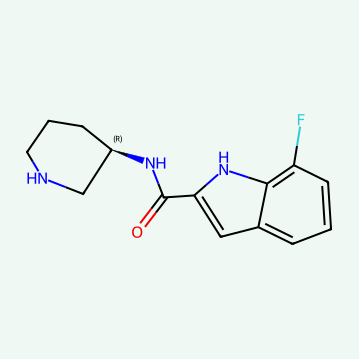 O=C(N[C@@H]1CCCNC1)c1cc2cccc(F)c2[nH]1